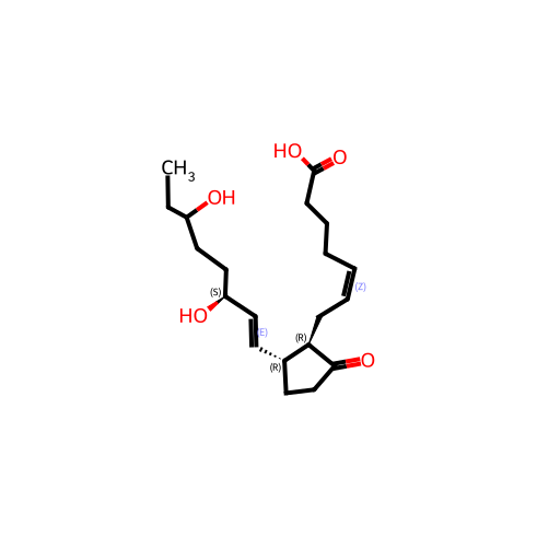 CCC(O)CC[C@H](O)/C=C/[C@H]1CCC(=O)[C@@H]1C/C=C\CCCC(=O)O